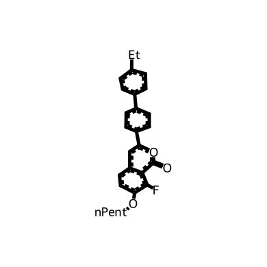 CCCCCOc1ccc2cc(-c3ccc(-c4ccc(CC)cc4)cc3)oc(=O)c2c1F